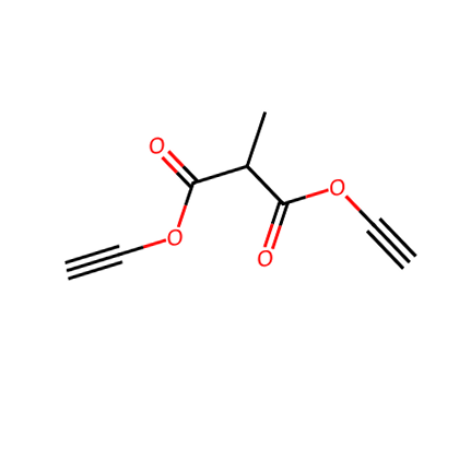 C#COC(=O)C(C)C(=O)OC#C